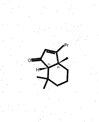 CC(C)C1=CC(=O)[C@H]2C(C)(C)CCC[C@@]12C